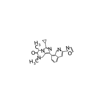 CC1C(=O)N(C)Cc2c(-c3cccc4cc(-c5ncco5)ncc34)nc(C3CC3)n21